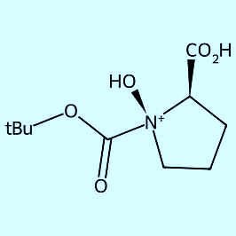 CC(C)(C)OC(=O)[N@@+]1(O)CCC[C@@H]1C(=O)O